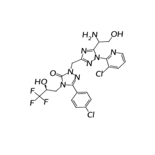 NC(CO)c1nc(Cn2nc(-c3ccc(Cl)cc3)n(C[C@H](O)C(F)(F)F)c2=O)nn1-c1ncccc1Cl